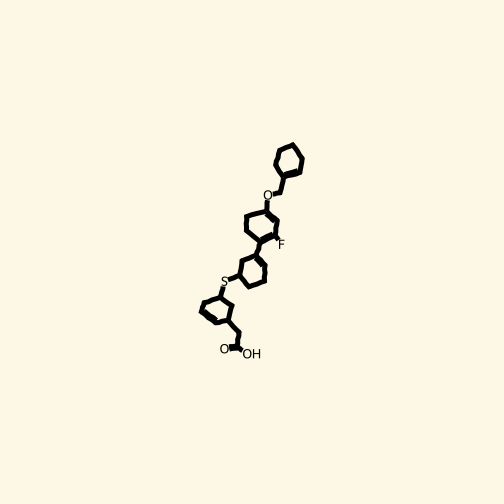 O=C(O)CC1C=CCC(SC2CCC=C(C3=C(F)C=C(OCC4=CCCCC4)CC3)C2)C1